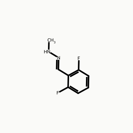 CN/N=C/c1c(F)cccc1F